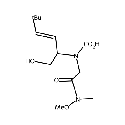 CON(C)C(=O)CN(C(=O)O)C(C=CC(C)(C)C)CO